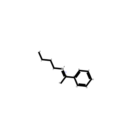 CCCC/N=C(\C)c1ccccc1